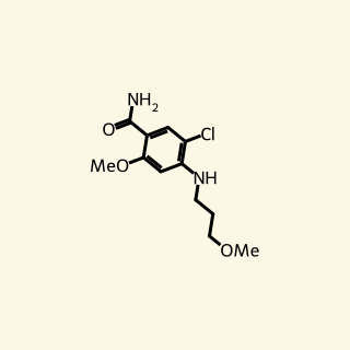 COCCCNc1cc(OC)c(C(N)=O)cc1Cl